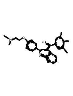 Cc1cc(C(=O)c2c(-c3ccc(OCCN(C)C)cc3)oc3ccccc23)cc(C)c1C